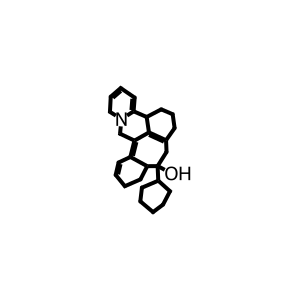 OC1(C2CCCCC2)CC2=C3C(=C4C=CCCC41)CN1CC=CC=C1C3CCC2